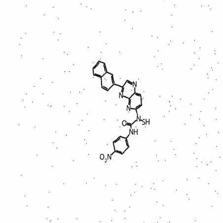 O=C(Nc1ccc([N+](=O)[O-])cc1)N(S)c1ccc2ncc(-c3ccc4ccccc4c3)nc2n1